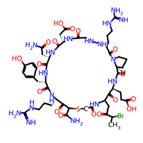 CC(Br)C(=O)CC1NC(=O)CSC(C(N)=O)C(=O)[C@H](CCCNC(=N)N)NC(=O)[C@H](Cc2ccc(O)cc2)NC(=O)[C@H](CC(N)=O)NC(=O)[C@H](CC(=O)O)NC(=O)CNN[C@@H](CCCNC(=N)N)C(=O)N2CCC[C@H]2C(=O)N[C@@H](CCC(=O)O)C1=O